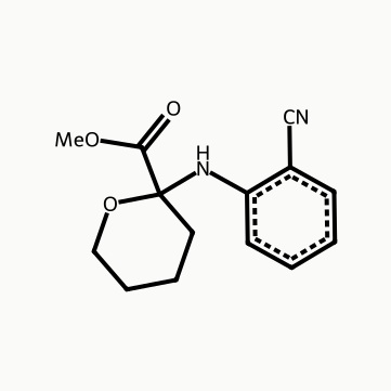 COC(=O)C1(Nc2ccccc2C#N)CCCCO1